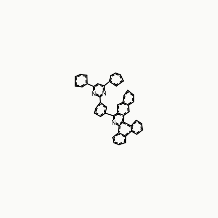 c1ccc(-c2cc(-c3ccccc3)nc(-c3cccc(-c4nc5c6ccccc6c6ccccc6c5c5cc6ccccc6cc45)c3)n2)cc1